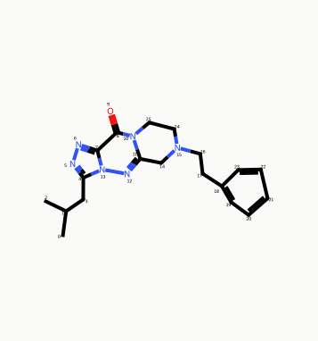 CC(C)Cc1nnc2c(=O)n3c(nn12)CN(CCc1ccccc1)CC3